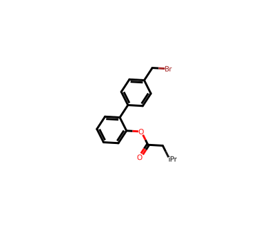 CC(C)CC(=O)Oc1ccccc1-c1ccc(CBr)cc1